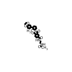 CC(=O)NCCNC(=O)c1ccc2c(c1)C(=O)N(c1cccc(-c3ccc4c(c3)OCCO4)c1C)C2=O